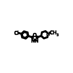 CN1CCC(c2nnc(-c3ccc(Cl)cc3)o2)CC1